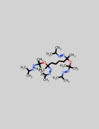 CC(C)N=NC(C)(C)OC(C)(CCCCC(C)(N=NC(C)C)OC(C)(C)N=NC(C)C)N=NC(C)C